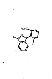 COc1cccc(F)c1-n1nc(I)c2ccncc21